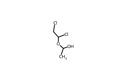 CC(O)OC(Cl)CCl